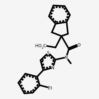 CCc1ccccc1-c1csc(N(C)C(=O)C2(CC(=O)O)Cc3ccccc3C2)n1